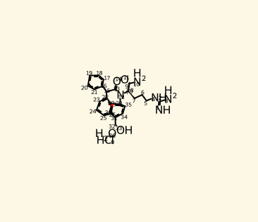 Cl.N=C(N)NCCC[C@H](C(N)=O)N(C(=O)C(c1ccccc1)c1ccccc1)c1ccc(CO)cc1.O